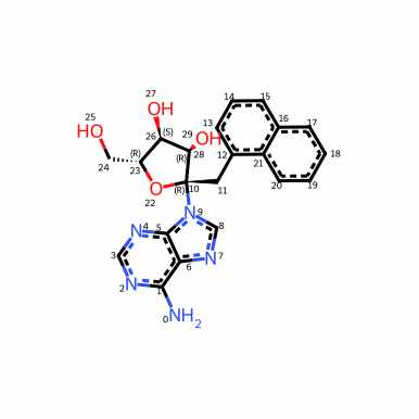 Nc1ncnc2c1ncn2[C@]1(Cc2cccc3ccccc23)O[C@H](CO)[C@@H](O)[C@H]1O